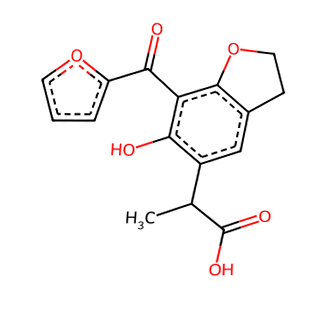 CC(C(=O)O)c1cc2c(c(C(=O)c3ccco3)c1O)OCC2